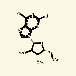 CC(=O)OC[C@H]1O[C@@H](n2cnc3c(Cl)nc(Cl)nc32)C(OC(C)=O)[C@H]1OC(C)=O